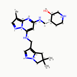 CC(C)c1cnn2c(NCc3cnn4c3CC(C)(C)C4)cc(NC[C@H]3CCNC[C@@H]3O)nc12